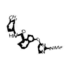 CNc1nccc(Oc2ccc3c(C(=O)Nc4ccc(C)cc4)cccc3c2)n1